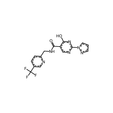 O=C(NCc1ccc(C(F)(F)F)cn1)c1cnc(-n2cccn2)nc1O